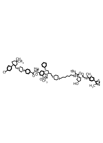 Cc1ncsc1-c1ccc([C@H](C)NC(=O)[C@@H]2C[C@@H](O)CN2C(=O)C(NCCCCCCN2CCN(CCC(CSc3ccccc3)Nc3ccc(S(=O)(=O)NC(=O)c4ccc(N5CCN(CC6=C(c7ccc(Cl)cc7)CCC(C)(C)C6)CC5)cc4)cc3S(=O)(=O)C(F)(F)F)CC2)C(C)(C)C)cc1